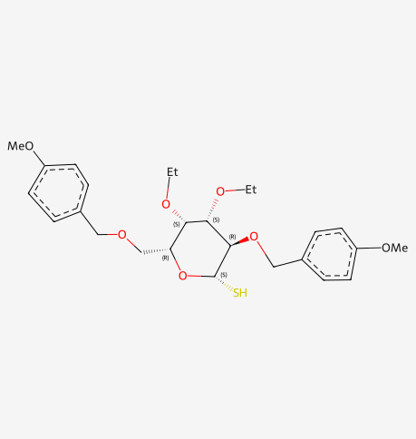 CCO[C@@H]1[C@@H](OCc2ccc(OC)cc2)[C@H](S)O[C@H](COCc2ccc(OC)cc2)[C@@H]1OCC